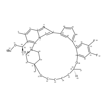 Cc1cc2nc3cn2c(c1[C@H](OC(C)(C)C)C(=O)O)N1CCC(C)(CC1)OCCCC[C@H](C)Oc1cc(F)c(F)cc1-c1cccc-3c1